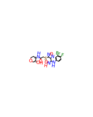 O=C(CSc1nonc1/C(=N\O)Nc1ccc(F)c(Br)c1)N[C@H]1CCOC[C@H]1O